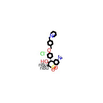 CCCCC1(CCCC)CS(=O)(=O)c2ccc(N(C)C)cc2[C@@H](c2ccc(OCc3ccc(C[n+]4ccccc4)cc3)cc2)[C@H]1O.[Cl-]